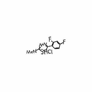 CNC1=NN=C(c2ccc(F)cc2F)CS1.Cl